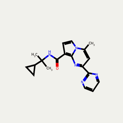 Cc1cc(-c2ncccn2)nc2c(C(=O)NC(C)(C)C3CC3)ccn12